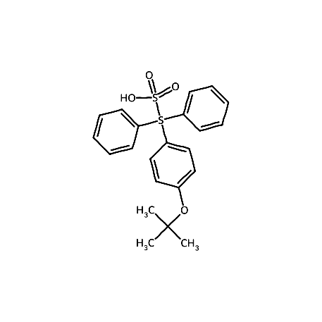 CC(C)(C)Oc1ccc(S(c2ccccc2)(c2ccccc2)S(=O)(=O)O)cc1